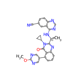 COc1ncc(-c2cccc3nc([C@H](C)Nc4ncnc5ccc(C#N)cc45)n(C4CC4)c(=O)c23)cn1